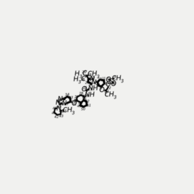 C[C@@H](COS(C)(=O)=O)Oc1cccc(-n2nc(C(C)(C)C)cc2NC(=O)N[C@H]2CC[C@@H](Oc3ccc4nnc(N5CCCC[C@@H]5C)n4c3)c3ccccc32)c1